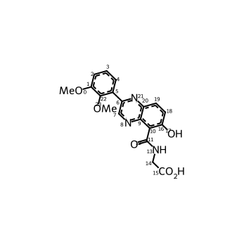 COc1cccc(-c2cnc3c(C(=O)NCC(=O)O)c(O)ccc3n2)c1OC